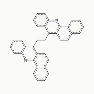 c1ccc2c(c1)ccc1c(CCc3c4ccccc4nc4c3ccc3ccccc34)c3ccccc3nc12